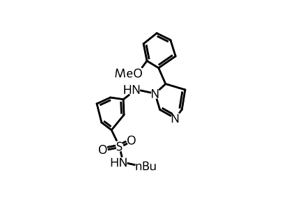 CCCCNS(=O)(=O)c1cccc(NN2C=NC=CC2c2ccccc2OC)c1